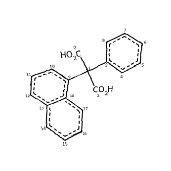 O=C(O)C(C(=O)O)(c1ccccc1)c1cccc2ccccc12